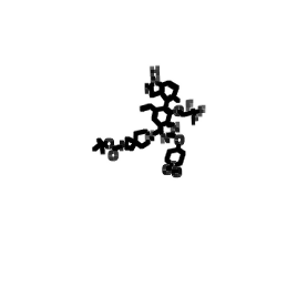 C=Cc1cc2c(N3CCC4(CC3)CN(C(=O)OC(C)(C)C)C4)nc(OC3CCS(=O)(=O)CC3)nc2c(OCC(F)(F)F)c1-c1c(C)ccc2[nH]ncc12